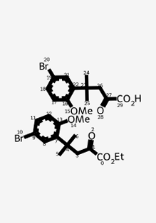 CCOC(=O)C(=O)CC(C)(C)c1cc(Br)ccc1OC.COc1ccc(Br)cc1C(C)(C)CC(=O)C(=O)O